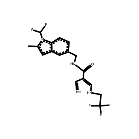 Cc1cc2cc(CNC(=O)/C(C=N)=C/NCC(F)(F)F)ccc2n1C(F)F